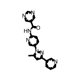 Cc1cc(-c2cccnc2)nn1-c1ccc(NC(=O)c2cncnc2)nc1